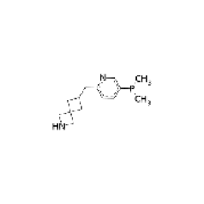 CP(C)c1ccc(CC2CC3(CNC3)C2)nc1